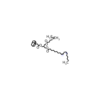 CCCCC/C=C\C/C=C\CCCCCCCC(=O)OCC(COC(=O)CCCN(C)C)COC(=O)CC12CC3CC(CC(C3)C1)C2